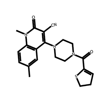 Cc1ccc2c(c1)c(N1CCN(C(=O)C3=CCCS3)CC1)c(C#N)c(=O)n2C